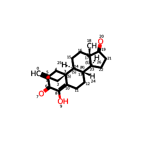 C#CC[C@]12CCC(=O)C(O)=C1CC[C@@H]1[C@@H]2CC[C@]2(C)C(=O)CC[C@@H]12